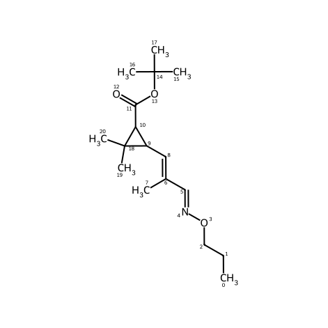 CCCO/N=C/C(C)=C/C1C(C(=O)OC(C)(C)C)C1(C)C